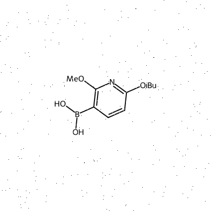 COc1nc(OCC(C)C)ccc1B(O)O